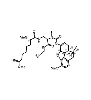 CNC(=N)CCCCC[C@H](NC)C(=O)NCC(C(=O)NCP)N(C)C(=O)OC1=CC[C@H]2[C@H]3Cc4ccc(OC)c5c4[C@@]2(CCN3C)[C@H]1O5